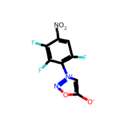 O=[N+]([O-])c1cc(F)c(-[n+]2cc([O-])on2)c(F)c1F